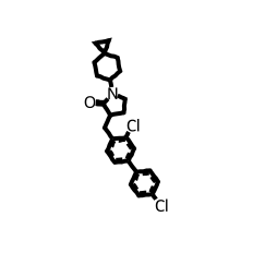 O=C1C(Cc2ccc(-c3ccc(Cl)cc3)cc2Cl)CCN1C1CCC2(CC1)CC2